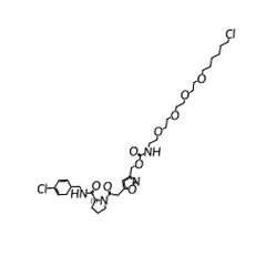 O=C(NCCOCCOCCOCCOCCCCCCCl)OCc1cc(CC(=O)N2CCC[C@H]2C(=O)NCC2C=CC(Cl)=CC2)on1